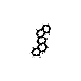 [c]1ccc2c(c1)ccc1cc3c(ccc4ccccc43)cc12